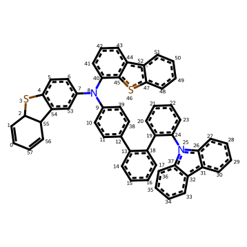 C1=CC2Sc3ccc(N(c4ccc(-c5ccccc5-c5ccccc5-n5c6ccccc6c6ccccc65)cc4)c4cccc5c4sc4ccccc45)cc3C2C=C1